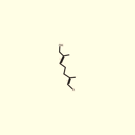 CC/C=C(\C)CC/C=C(\C)CO